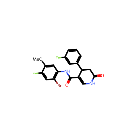 COc1cc(NC(=O)C2=CNC(=O)CC2c2cccc(F)c2)c(Br)cc1F